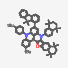 CC(C)(C)c1ccc(N2c3ccc(C(C)(C)C)cc3B3c4oc5cc6c(cc5c4N(c4ccc5c(c4)C(C)(C)CCC5(C)C)c4cc(-c5cccc7c5[Si](C)(C)c5ccccc5-7)cc2c43)C(C)(C)CCC6(C)C)cc1